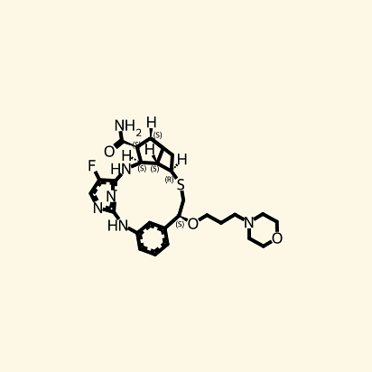 NC(=O)[C@H]1[C@H]2C[C@H]3[C@H]1Nc1nc(ncc1F)Nc1cccc(c1)[C@H](OCCCN1CCOCC1)CS[C@@H]3C2